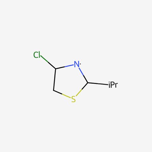 CC(C)C1[N]C(Cl)CS1